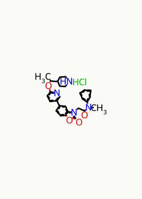 CC(Oc1ccc(-c2ccc3oc(=O)n(CC(=O)N(C)c4ccccc4)c3c2)cn1)C1CCNCC1.Cl